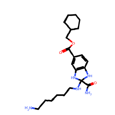 NCCCCCCNC1(C(N)=O)Nc2ccc(C(=O)OCC3CCCCC3)cc2N1